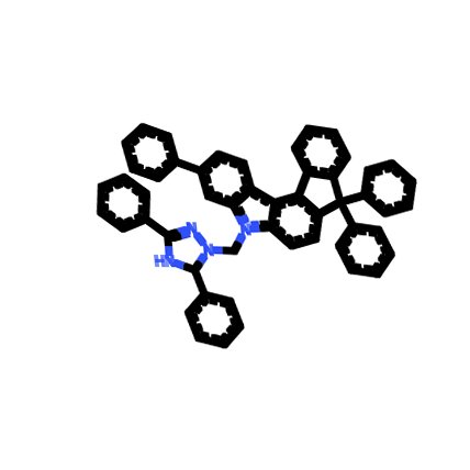 c1ccc(C2=NN(Cn3c4cc(-c5ccccc5)ccc4c4c5c(ccc43)C(c3ccccc3)(c3ccccc3)c3ccccc3-5)C(c3ccccc3)N2)cc1